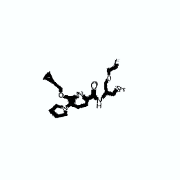 CC(C)CC(COCCF)NC(=O)c1ccc(N2CCCC2)c(OCC2CC2)n1